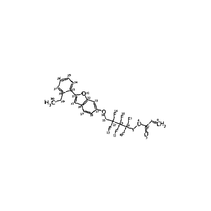 C=CC(=O)OCC(F)(F)C(F)(F)C(F)(F)COc1ccc2cc(-c3ccccc3CC)oc2c1